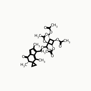 CC(=O)OC[C@@H]1[C@@H](OC(C)=O)[C@H](OC(C)=O)[C@]1(OC(C)=O)C(O)OCC1=C(C)C=C2C(=O)[C@@H](C)C3(CC3)C(C)=C21